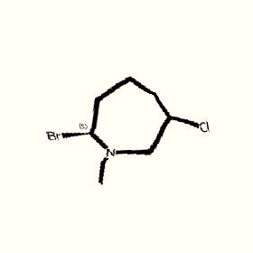 CN1CC(Cl)CCC[C@@H]1Br